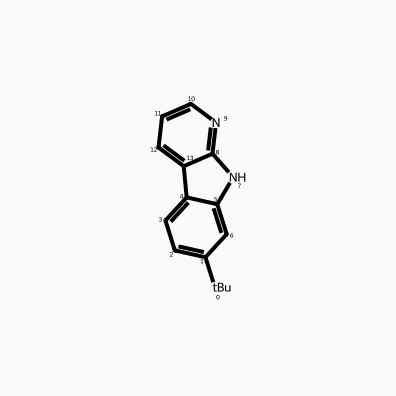 CC(C)(C)c1ccc2c(c1)[nH]c1ncccc12